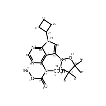 CC(C)(C)OC(=O)N(C(=O)O)c1ncnc2c1c(B1OC(C)(C)C(C)(C)O1)cn2C1CCC1